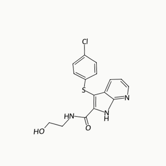 O=C(NCCO)c1[nH]c2ncccc2c1Sc1ccc(Cl)cc1